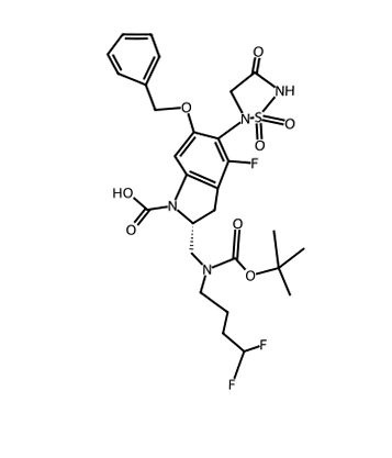 CC(C)(C)OC(=O)N(CCCC(F)F)C[C@H]1Cc2c(cc(OCc3ccccc3)c(N3CC(=O)NS3(=O)=O)c2F)N1C(=O)O